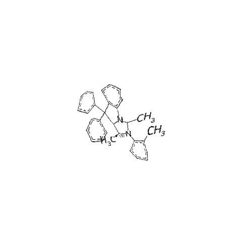 Cc1ccccc1N1C(C)N2c3ccccc3C(c3ccccc3)(c3ccccc3)C2[C@@H]1C